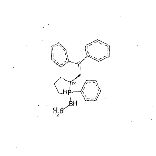 BB[PH]1(c2ccccc2)CCC[C@H]1CP(c1ccccc1)c1ccccc1